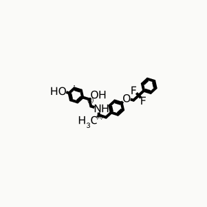 C[C@H](Cc1ccc(OCC(F)(F)c2ccccc2)cc1)NC[C@H](O)c1c[c]c(O)cc1